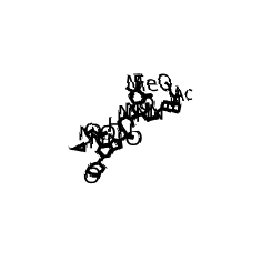 COCCN(C(C)=O)C12C3C4C1C1C2C3C41n1ccn(-c2c3c(nn2-c2cc(C)c(F)c(C)c2)CCN(C(=O)c2cc4cc(C5CCOCC5)cc(-n5c([C@@H]6C[C@@H]6C)noc5=O)c4[nH]2)C3)c1=O